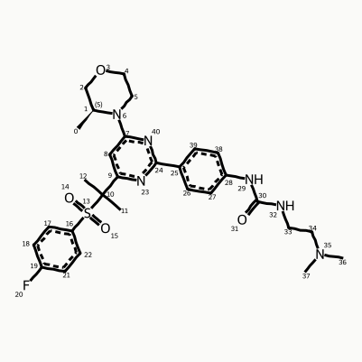 C[C@H]1COCCN1c1cc(C(C)(C)S(=O)(=O)c2ccc(F)cc2)nc(-c2ccc(NC(=O)NCCN(C)C)cc2)n1